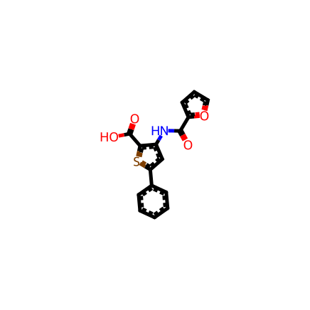 O=C(Nc1cc(-c2ccccc2)sc1C(=O)O)c1ccco1